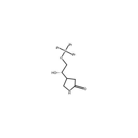 CC(C)[Si](OC[C@@H](O)C1CNC(=O)C1)(C(C)C)C(C)C